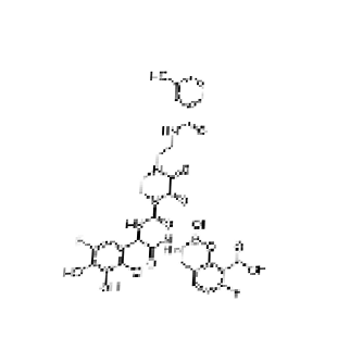 O=C(NCCN1CCN(C(=O)NC(C(=O)N[C@H]2Cc3ccc(F)c(C(=O)O)c3OB2O)c2cc(F)c(O)c(O)c2Cl)C(=O)C1=O)c1cccc(O)c1